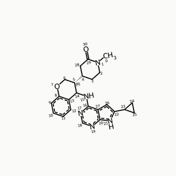 CN1CCC([C@H]2COc3ccccc3C2Nc2ncnc3[nH]c(C4CC4)cc23)CC1=O